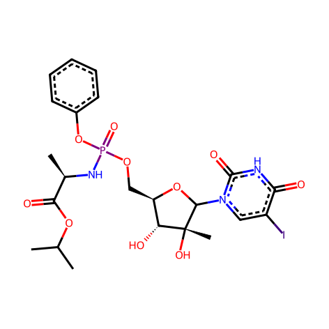 CC(C)OC(=O)[C@@H](C)NP(=O)(OC[C@H]1OC(n2cc(I)c(=O)[nH]c2=O)[C@](C)(O)[C@@H]1O)Oc1ccccc1